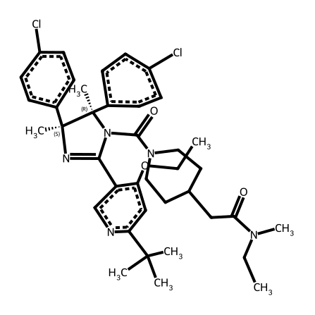 CCOc1cc(C(C)(C)C)ncc1C1=N[C@@](C)(c2ccc(Cl)cc2)[C@@](C)(c2ccc(Cl)cc2)N1C(=O)N1CCC(CC(=O)N(C)CC)CC1